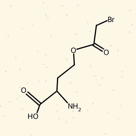 NC(CCOC(=O)CBr)C(=O)O